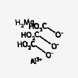 O=C([O-])O.O=C([O-])O.O=C([O-])O.[Al+3].[MgH2]